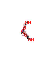 O=[PH](OCCOCCOCCO)OCCOCCOCCO